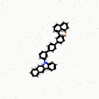 c1cc(-c2ccc(-c3ccc4c(c3)-c3cccc5cccc(c35)S4)cc2)cc(-n2c3ccccc3c3cc4ccccc4cc32)c1